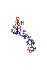 O=C1NC(=O)/C(=C\c2ccnc(N3CCC(CNCc4ccc(-c5ccco5)nc4)CC3)n2)S1